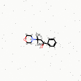 CSC(C)(CC(=O)c1ccccc1)N1CCOCC1